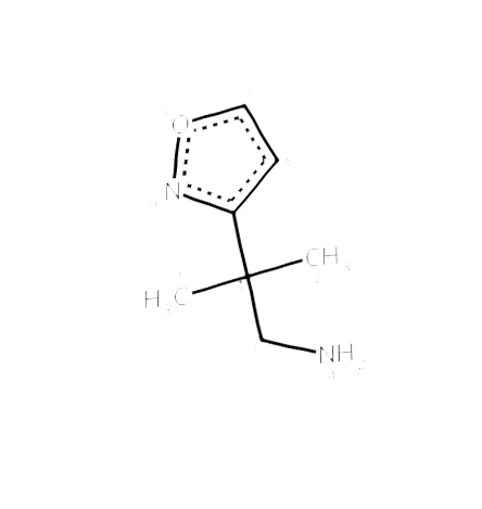 CC(C)(CN)c1ccon1